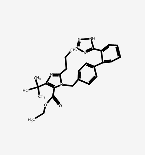 CCCc1nc(C(C)(C)O)c(C(=O)OCC)n1Cc1ccc(-c2ccccc2-c2nnn[nH]2)cc1